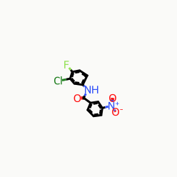 O=C(Nc1ccc(F)c(Cl)c1)c1cccc([N+](=O)[O-])c1